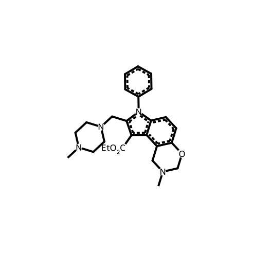 CCOC(=O)c1c(CN2CCN(C)CC2)n(-c2ccccc2)c2ccc3c(c12)CN(C)CO3